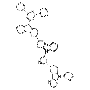 c1ccc(-c2cc(-n3c4ccccc4c4cc(-c5ccc6c(c5)c5ccccc5n6-c5cncc(-c6ccc7c(c6)c6ncccc6n7-c6ccccc6)c5)ccc43)cc(-c3ccccc3)n2)cc1